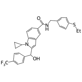 CCSc1ccc(CNC(=O)c2ccc3c(c2)cc(C(O)c2ccc(C(F)(F)F)cc2)n3C2CC2)cc1